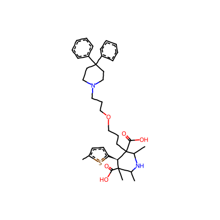 Cc1ccc([C@@H]2C(C)(C(=O)O)C(C)NC(C)C2(CCCOCCCN2CCC(c3ccccc3)(c3ccccc3)CC2)C(=O)O)s1